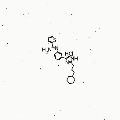 Cl.N/C(=N\c1cccc(-c2c[nH]c(CCCC3CCCCC3)n2)c1)c1cccs1